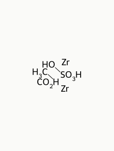 CC(=O)O.O=S(=O)(O)O.[Zr].[Zr]